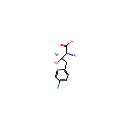 C[C@@](O)(Cc1ccc(F)cc1)[C@H](N)C(=O)O